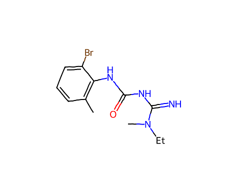 CCN(C)C(=N)NC(=O)Nc1c(C)cccc1Br